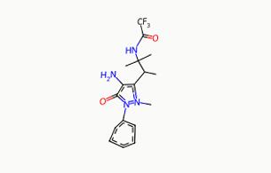 CC(c1c(N)c(=O)n(-c2ccccc2)n1C)C(C)(C)NC(=O)C(F)(F)F